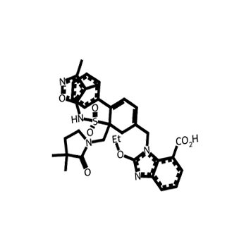 CCOc1nc2cccc(C(=O)O)c2n1CC1=CC=C(c2ccccc2)C(CN2CCC(C)(C)C2=O)(S(=O)(=O)Nc2onc(C)c2C)C1